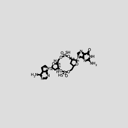 Nc1nc2c(ncn2[C@@H]2OC3COP(=O)(S)O[C@H]4C[C@H](n5ccc6c(N)ncnc65)O[C@@H]4COP(=O)(S)O[C@@H]2C3)c(=O)[nH]1